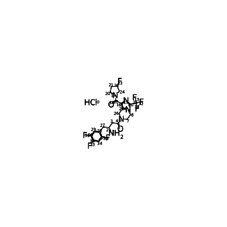 Cl.NC(CC(=O)N1CCn2c(C(F)(F)F)nc(C(=O)N3CCC(F)C3)c2C1)Cc1cc(F)c(F)cc1F